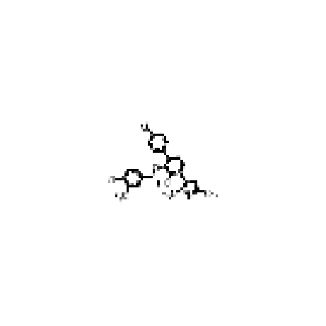 Cn1nc(C(F)(F)F)cc1-c1ccc(-c2ccc(Cl)cc2)c(OCc2ccc(Cl)c(C(F)(F)F)c2)c1O